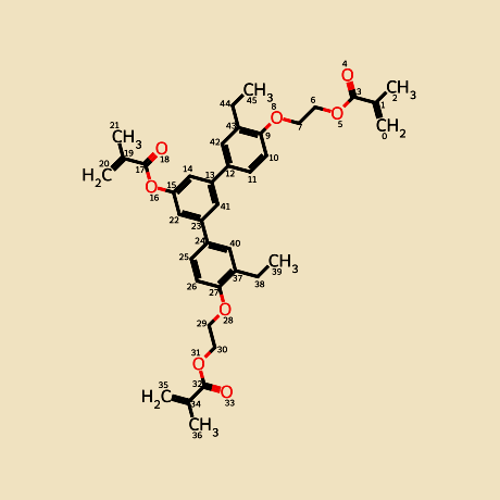 C=C(C)C(=O)OCCOc1ccc(-c2cc(OC(=O)C(=C)C)cc(-c3ccc(OCCOC(=O)C(=C)C)c(CC)c3)c2)cc1CC